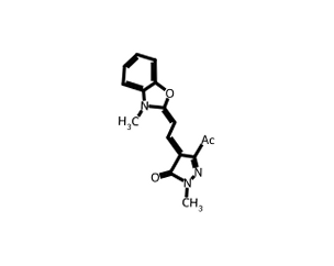 CC(=O)C1=NN(C)C(=O)/C1=C/C=C1/Oc2ccccc2N1C